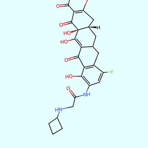 NC(=O)C1=C(O)C[C@@H]2CC3Cc4c(F)cc(NC(=O)CNC5CCC5)c(O)c4C(=O)C3=C(O)[C@]2(O)C1=O